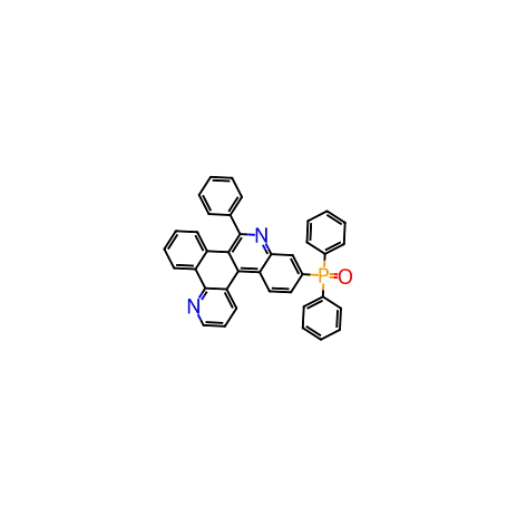 O=P(c1ccccc1)(c1ccccc1)c1ccc2c(c1)nc(-c1ccccc1)c1c3ccccc3c3ncccc3c21